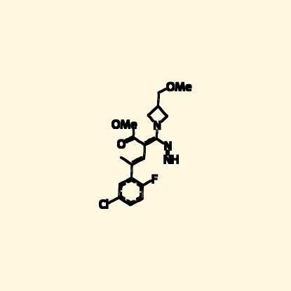 COCC1CN(/C(N=N)=C(/C=C(\C)c2cc(Cl)ccc2F)C(=O)OC)C1